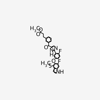 COC(=O)CCc1cccc(C(=O)c2cnc(-c3cc(Oc4c(F)cc5[nH]ccc5c4SC)ccc3F)[nH]2)c1